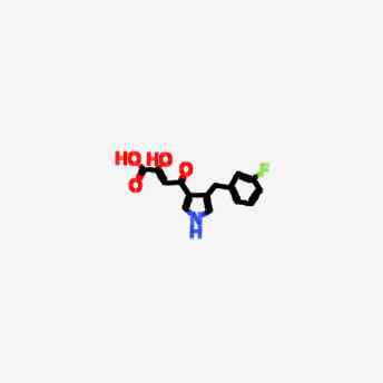 O=C(O)C(O)=CC(=O)c1c[nH]cc1Cc1cccc(F)c1